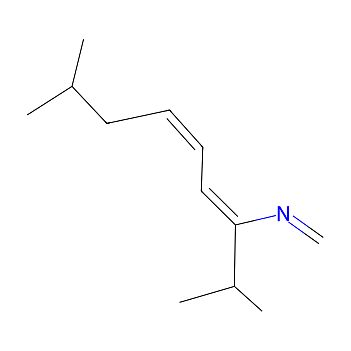 C=N/C(=C\C=C/CC(C)C)C(C)C